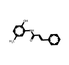 Cc1ccc(O)c(NC(=O)/C=C/c2ccccc2)c1